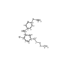 CCCCOc1ncc(F)c(Nc2ccc(CN)cc2)n1